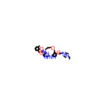 CCN1CCN(CCOc2ccc3cc2COC/C=C/CN(C(=O)Oc2c(C)cccc2C)c2ccnc(n2)N3)CC1